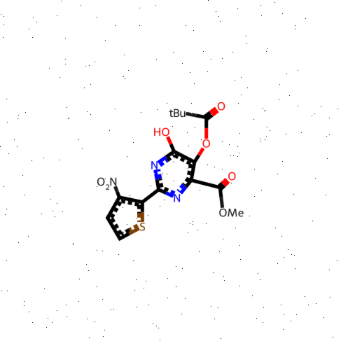 COC(=O)c1nc(-c2sccc2[N+](=O)[O-])nc(O)c1OC(=O)C(C)(C)C